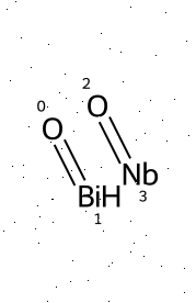 [O]=[BiH].[O]=[Nb]